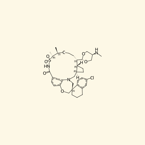 CN[C@H]1CO[C@H]([C@H]2CCC[C@H](C)[C@@H](C)S(=O)(=O)NC(=O)c3ccc4c(c3)N(C[C@@H]3CC[C@H]32)C[C@@]2(CCCc3cc(Cl)ccc32)CO4)OC1